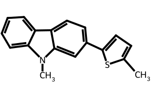 Cc1ccc(-c2ccc3c4ccccc4n(C)c3c2)s1